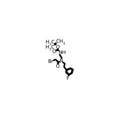 CC(C)(C)OC(=O)NCCN(CCc1cccc(F)c1)C(=O)CBr